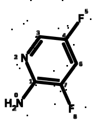 Nc1n[c]c(F)cc1F